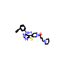 C#Cc1cccc(Nc2ncnc3sc4c(c23)CCN(C(=O)/C=C/CN2CCCCC2)C4)c1